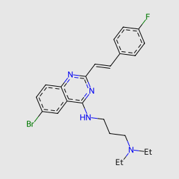 CCN(CC)CCCNc1nc(C=Cc2ccc(F)cc2)nc2ccc(Br)cc12